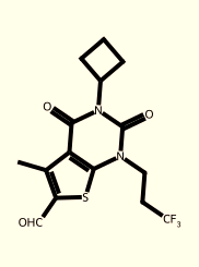 Cc1c(C=O)sc2c1c(=O)n(C1CCC1)c(=O)n2CCC(F)(F)F